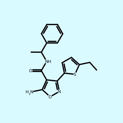 CCc1ccc(-c2noc(N)c2C(=O)NC(C)c2ccccc2)s1